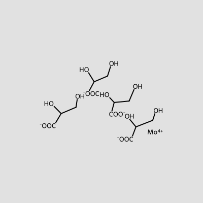 O=C([O-])C(O)CO.O=C([O-])C(O)CO.O=C([O-])C(O)CO.O=C([O-])C(O)CO.[Mo+4]